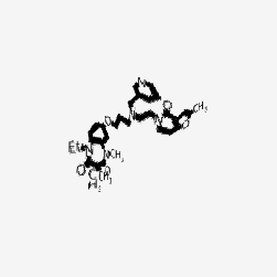 CCN1C(=O)C(C)(C)C(=O)N(C)c2cc(OCCCN(CCn3ccc4oc(C)cc4c3=O)Cc3cccnc3)ccc21